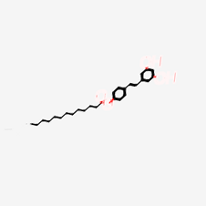 CCCCCCCCCCCCCC(=O)Oc1ccc(C=Cc2cc(O)cc(O)c2)cc1